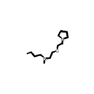 CCCCN(C)CCOCCN1CCCC1